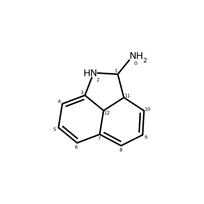 NC1NC2=CC=CC3=CC=CC1C32